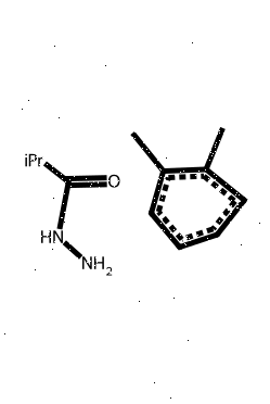 CC(C)C(=O)NN.Cc1ccccc1C